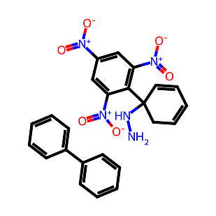 NNC1(c2c([N+](=O)[O-])cc([N+](=O)[O-])cc2[N+](=O)[O-])C=CC=CC1.c1ccc(-c2ccccc2)cc1